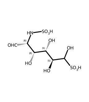 O=C[C@H](NS(=O)(=O)O)[C@@H](O)[C@H](O)[C@H](O)C(O)S(=O)(=O)O